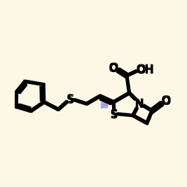 O=C(O)C1/C(=C/CSCc2ccccc2)SC2CC(=O)N21